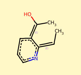 C/C=c1/nccc/c1=C(/C)O